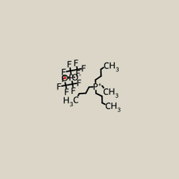 CCCC[P+](CC)(CCCC)CCCC.O=P([O-])(C(F)(F)C(F)(F)F)C(F)(F)C(F)(F)F